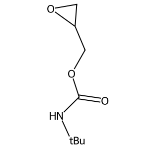 [CH2]C([CH2])(C)NC(=O)OCC1CO1